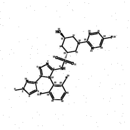 Cn1ccc(-c2nnc(NS(=O)(=O)[C@@H]3C[C@@H](O)CN(c4ncc(F)cn4)C3)n2-c2c(F)cccc2F)n1